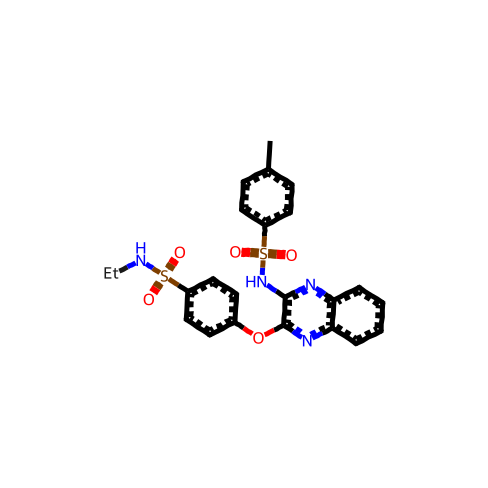 CCNS(=O)(=O)c1ccc(Oc2nc3ccccc3nc2NS(=O)(=O)c2ccc(C)cc2)cc1